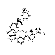 CCc1c(N(C)C)cccc1N(NC=O)c1cc(-n2ccnc2Nc2cc(NC(=O)c3cccc(C(F)(F)F)c3)ccc2C)ncn1